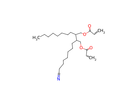 C=CC(=O)OCC(CCCCCCCC)C(CCCCCCCC#N)COC(=O)C=C